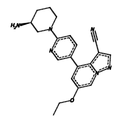 CCOc1cc(-c2ccc(N3CCC[C@H](N)C3)nc2)c2c(C#N)cnn2c1